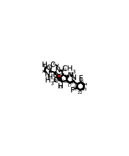 CCN(C(=O)c1ncco1)[C@@H](C)[C@@]12CC[C@@H](c3cc(-c4c(F)cccc4F)nnc31)C2(C)C